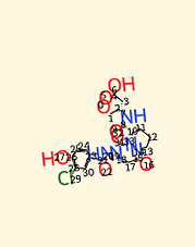 O=C[C@H](CC(=O)O)NC(=O)[C@@H]1CCCN2C(=O)CCN(NC(=O)c3ccc(O)c(Cl)c3)C(=O)N12